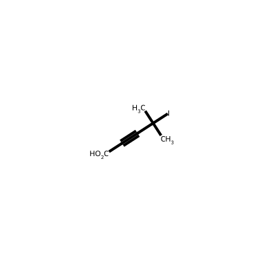 CC(C)(I)C#CC(=O)O